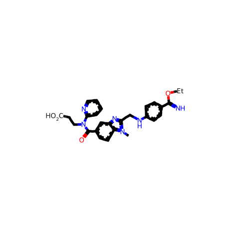 CCOC(=N)c1ccc(NCc2nc3cc(C(=O)N(CCC(=O)O)c4ccccn4)ccc3n2C)cc1